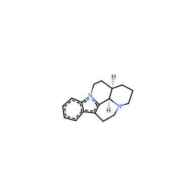 c1ccc2c(c1)c1c3n2CC[C@H]2CCCN(CC1)[C@@H]32